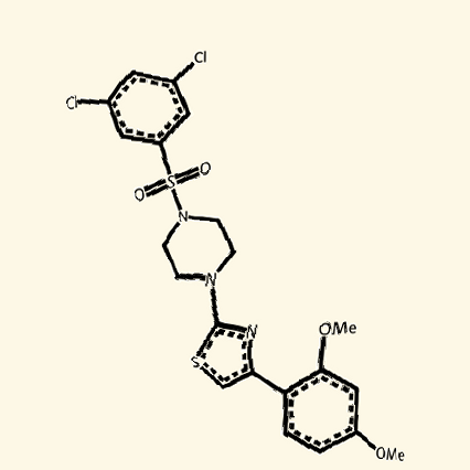 COc1ccc(-c2csc(N3CCN(S(=O)(=O)c4cc(Cl)cc(Cl)c4)CC3)n2)c(OC)c1